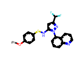 CC(C)Oc1ccc(SNc2cc(C(F)F)nn2-c2cccc3ncccc23)cc1